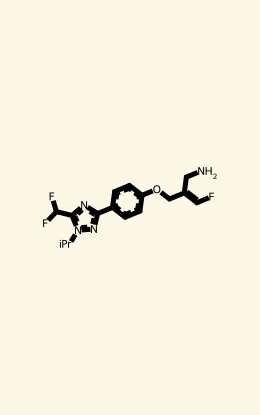 CC(C)n1nc(-c2ccc(OC/C(=C/F)CN)cc2)nc1C(F)F